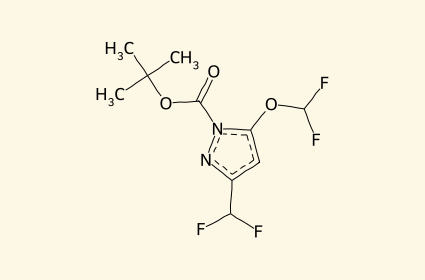 CC(C)(C)OC(=O)n1nc(C(F)F)cc1OC(F)F